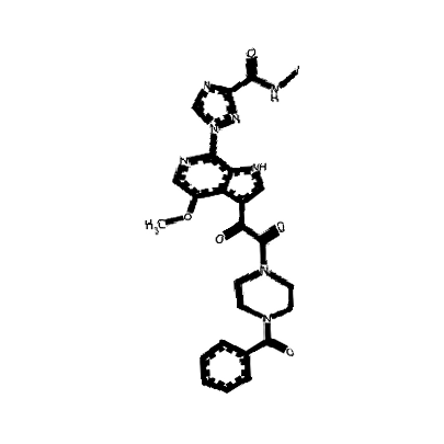 COc1cnc(-n2cnc(C(=O)NI)n2)c2[nH]cc(C(=O)C(=O)N3CCN(C(=O)c4ccccc4)CC3)c12